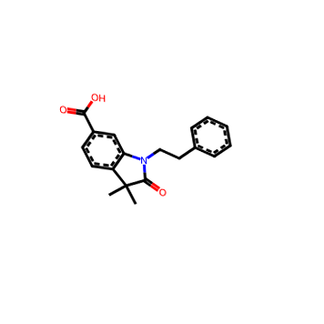 CC1(C)C(=O)N(CCc2ccccc2)c2cc(C(=O)O)ccc21